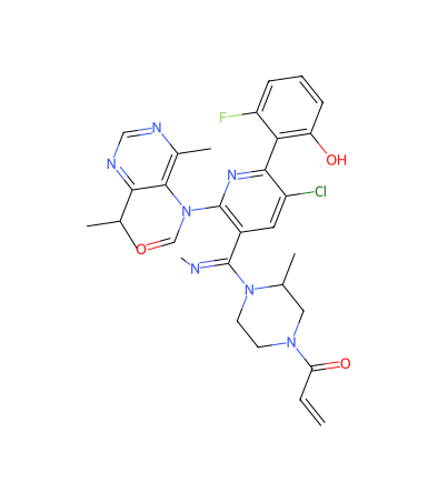 C=CC(=O)N1CCN(/C(=N/C)c2cc(Cl)c(-c3c(O)cccc3F)nc2N(C=O)c2c(C)ncnc2C(C)C)C(C)C1